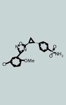 COc1ccc(Cl)cc1-c1noc([C@H]2C[C@@H]2c2ccc(S(N)(=O)=O)cc2)n1